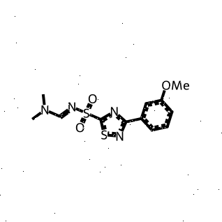 COc1cccc(-c2nsc(S(=O)(=O)N=CN(C)C)n2)c1